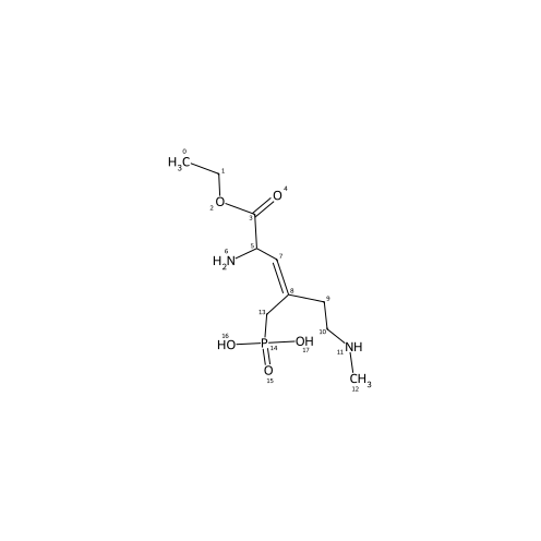 CCOC(=O)C(N)C=C(CCNC)CP(=O)(O)O